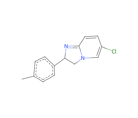 Cc1ccc(C2CN3C=C(Cl)C=CC3=N2)cc1